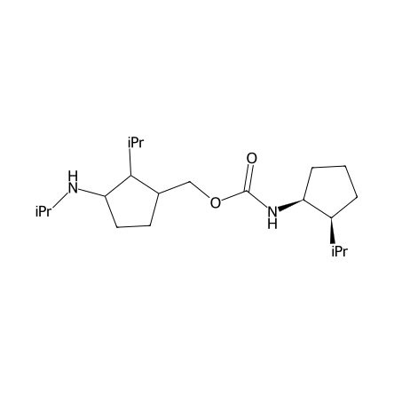 CC(C)NC1CCC(COC(=O)N[C@H]2CCC[C@H]2C(C)C)C1C(C)C